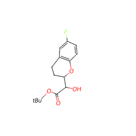 CC(C)(C)OC(=O)C(O)C1CCc2cc(F)ccc2O1